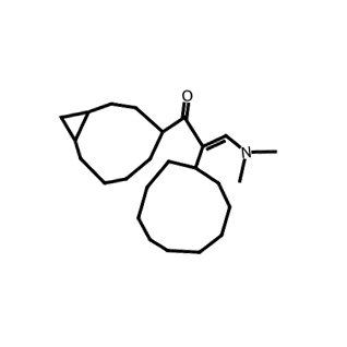 CN(C)/C=C(/C(=O)C1CCCCC2CC2CC1)C1CCCCCCCCC1